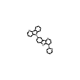 c1ccc(-c2ccnc3c2oc2ccc(-n4c5ccccc5c5ncccc54)cc23)nc1